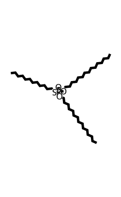 CCCCCCCCCCCCCCCOP(=O)(OCCCCCCCCCCCCCCC)SCCCCCCCCCCCC